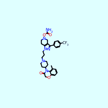 Cc1cccc2c1N(C1CCN(CCCn3nc(-c4ccc(C(F)(F)F)cc4)c4c3CCN(OC(N)=O)C4)CC1)C(=O)CO2